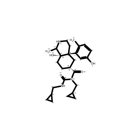 Cc1ccc(O)cc1[C@]12CCNC(C)[C@]1(O)CC[C@@H](C(=O)N(CC1CC1)C(=O)NCC1CC1)C2